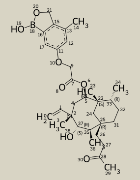 C=C[C@]1(C)C[C@@H](OC(=O)COc2cc(C)c3c(c2)B(O)OC3)[C@@]2(C)C[C@](CCC(C)=O)(CC[C@H]2C)[C@@H](C)[C@@H]1O